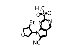 CCC1COC[C@@H]1n1c(C#N)cc2cnc(S(C)(=O)=O)nc21